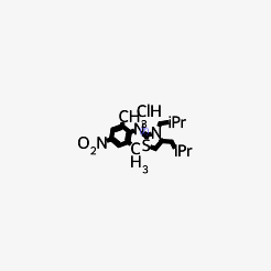 Cc1cc([N+](=O)[O-])cc(C)c1/N=C1\SCC(CC(C)C)N1CC(C)C.Cl